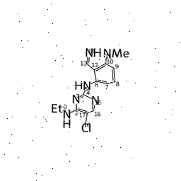 CCNc1nc(Nc2cccc(NC)c2C=N)ncc1Cl